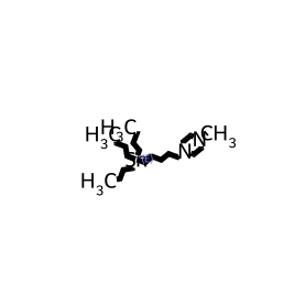 CCC[CH2][Sn](/[CH]=C/CCCN1CCN(C)CC1)([CH2]CCC)[CH2]CCC